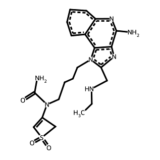 CCNCc1nc2c(N)nc3ccccc3c2n1CCCCN(C(N)=O)C1=CS(=O)(=O)C1